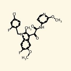 COc1cc(NC(=O)C(=O)c2c(C)n(Cc3ccc(Cl)cc3F)c3cc(F)c(OC)cc23)ccn1